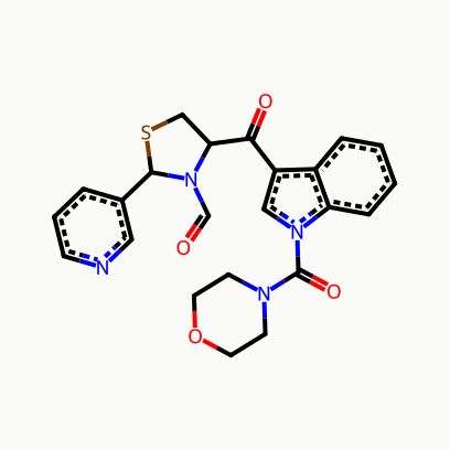 O=CN1C(C(=O)c2cn(C(=O)N3CCOCC3)c3ccccc23)CSC1c1cccnc1